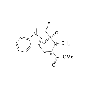 COC(=O)[C@@H](Cc1c[nH]c2ccccc12)N(C)S(=O)(=O)CF